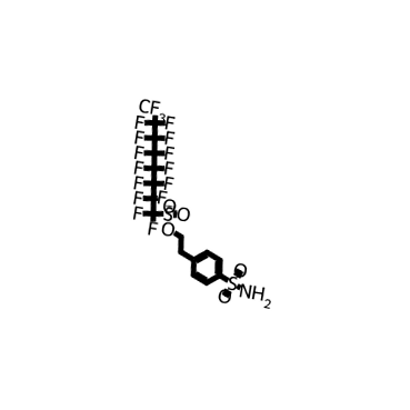 NS(=O)(=O)c1ccc(CCOS(=O)(=O)C(F)(F)C(F)(F)C(F)(F)C(F)(F)C(F)(F)C(F)(F)C(F)(F)C(F)(F)F)cc1